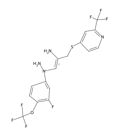 N/C(=C\N(N)c1ccc(OC(F)(F)F)c(F)c1)CSc1ccnc(C(F)(F)F)c1